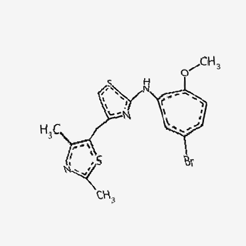 COc1ccc(Br)cc1Nc1nc(-c2sc(C)nc2C)cs1